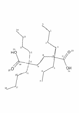 CCCCC(CCC)(CCC(CCCC)(CCCC)C(=O)O)C(=O)O